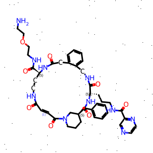 NCCOCCNC(=O)[C@@H]1CCNC(=O)/C=C/C(=O)N2CCC[C@](Cc3ccccc3)(C2)C(=O)N[C@@H](CCCNC(=O)c2cnccn2)C(=O)NCc2ccccc2CC(=O)N1